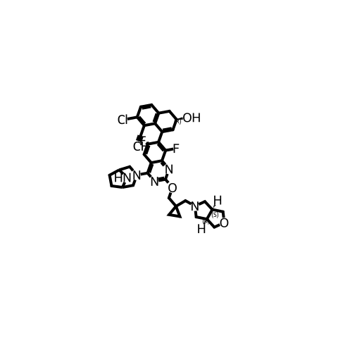 C#Cc1c(Cl)ccc2c1C(c1c(F)cc3c(N4CC5CCC(C4)N5)nc(OCC4(CN5C[C@H]6COC[C@H]6C5)CC4)nc3c1F)=C[C@H](O)C2